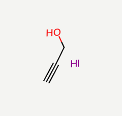 C#CCO.I